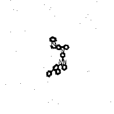 c1ccc(-c2ccc(-c3nc(-c4ccc(-n5c6ccccc6c6cc7c(ccn7-c7ccccc7)cc65)cc4)nc4ccccc34)c3ccccc23)cc1